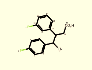 N#CC(c1ccc(F)cc1)C(CC(=O)O)c1cccc(F)c1